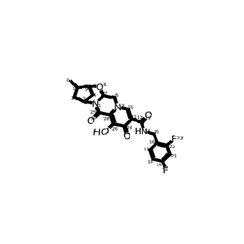 CC1CC2CC1OC1Cn3cc(C(=O)NCc4ccc(F)cc4F)c(=O)c(O)c3C(=O)N21